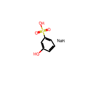 O=S(=O)(O)c1cccc(O)c1.[NaH]